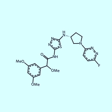 COc1cc(OC)cc(C(OC)C(=O)Nc2nnc(N[C@@H]3CCN(c4ccc(F)nn4)C3)s2)c1